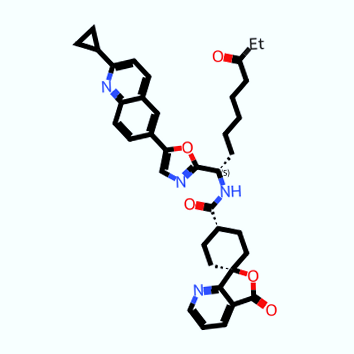 CCC(=O)CCCCC[C@H](NC(=O)[C@H]1CC[C@]2(CC1)OC(=O)c1cccnc12)c1ncc(-c2ccc3nc(C4CC4)ccc3c2)o1